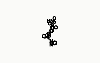 O=C1CCC(N2Cc3cc(OC[C@@H]4CCCCN4C(=O)CCn4cnc5ccccc54)ccc3C2=O)C(=O)N1